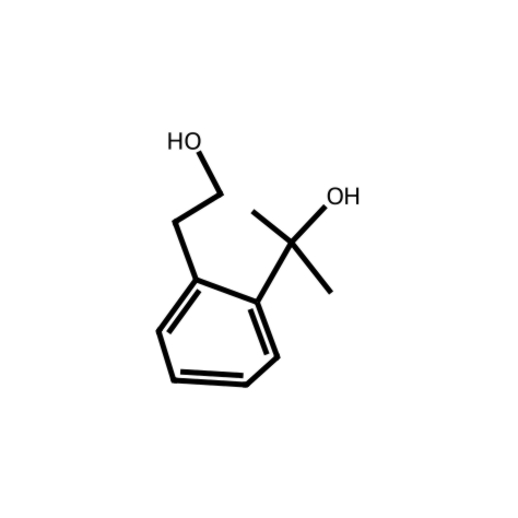 CC(C)(O)c1ccccc1CCO